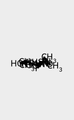 COc1cnc2c(-c3nc4cc(F)c(OCCOC(=O)Nc5ccc(C(C)(C)O)nc5)nc4s3)cc(C)cc2n1